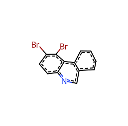 Brc1ccc2ncc3ccccc3c2c1Br